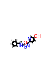 Oc1ccc(-c2nnc(NCc3ccccc3)o2)nc1